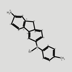 CCN(c1ccc(C)cc1)c1ccc2c(c1)-c1ccc(N)cc1C2